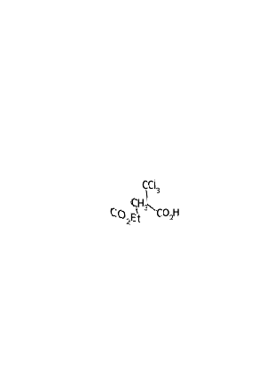 CCOC(C)=O.O=C(O)CC(Cl)(Cl)Cl